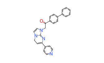 O=C(CN1C=CN2CC=C(c3ccncc3)N=C21)c1ccc(-c2ccccc2)cc1